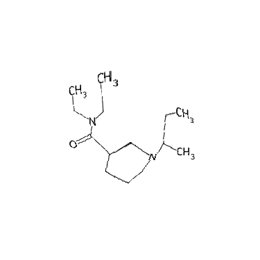 CCC(C)N1CCCC(C(=O)N(CC)CC)C1